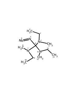 CCN(C)C([N]=[Nb])(N(C)CC)N(C)CC